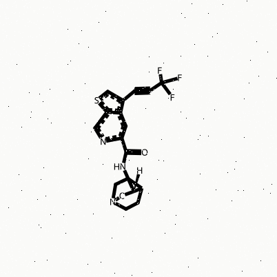 O=C(N[C@H]1CN2CCC1CC2)c1cc2c(C#CC(F)(F)F)csc2cn1